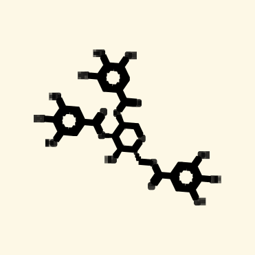 O=C(OC[C@H]1OC[C@H](OC(=O)c2cc(O)c(O)c(O)c2)[C@@H](OC(=O)c2cc(O)c(O)c(O)c2)[C@@H]1O)c1cc(O)c(O)c(O)c1